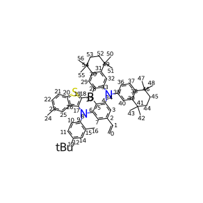 C=Cc1cc2c3c(c1)N(c1ccc(C(C)(C)C)cc1C)c1c(sc4ccc(C)cc14)B3c1cc3c(cc1N2c1ccc2c(c1)C(C)(C)CCC2(C)C)C(C)(C)CCC3(C)C